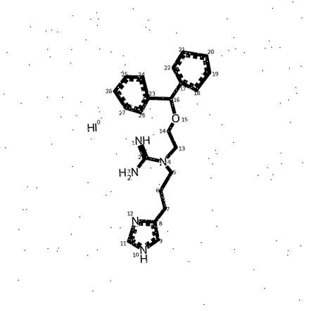 I.N=C(N)N(CCCc1c[nH]cn1)CCOC(c1ccccc1)c1ccccc1